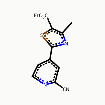 CCOC(=O)c1sc(-c2ccnc(C#N)c2)nc1C